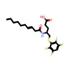 CCCCCC/C=C/CC(=O)NC(CCC(=O)O)CSc1c(F)c(F)cc(F)c1F